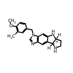 COc1ccc(Cn2cnc3cc4c(cc32)N[C@@H]2CCN[C@H]42)cc1C